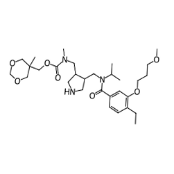 CCc1ccc(C(=O)N(CC2CNCC2CN(C)C(=O)OCC2(C)COCOC2)C(C)C)cc1OCCCOC